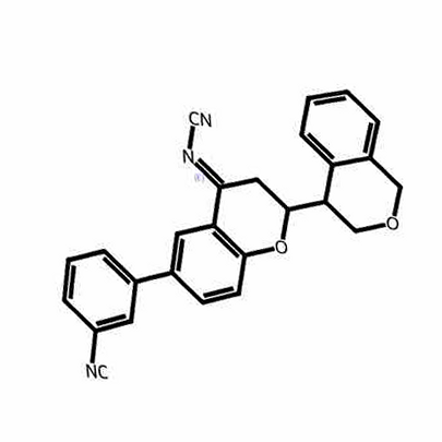 [C-]#[N+]c1cccc(-c2ccc3c(c2)/C(=N/C#N)CC(C2COCc4ccccc42)O3)c1